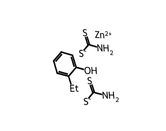 CCc1ccccc1O.NC(=S)[S-].NC(=S)[S-].[Zn+2]